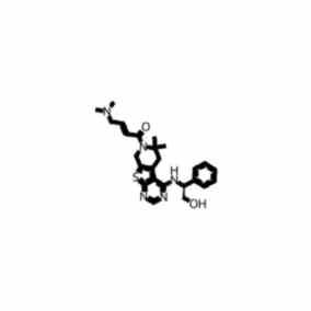 CN(C)C/C=C/C(=O)N1Cc2sc3ncnc(N[C@H](CO)c4ccccc4)c3c2CC1(C)C